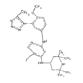 Cc1nnnn1-c1cc(Nc2ncc(F)c(NC3CC(C)(C)NC(C)(C)C3)n2)ccc1OC(F)(F)F